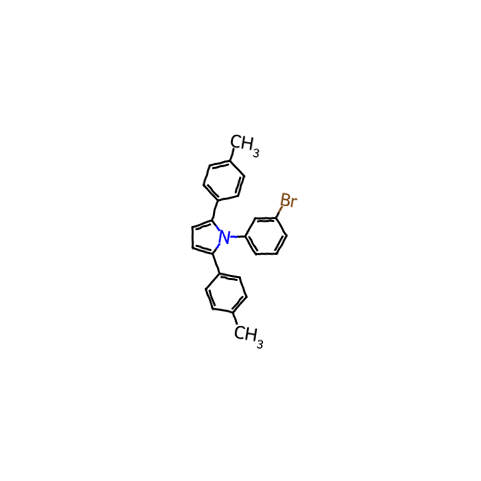 Cc1ccc(-c2ccc(-c3ccc(C)cc3)n2-c2cccc(Br)c2)cc1